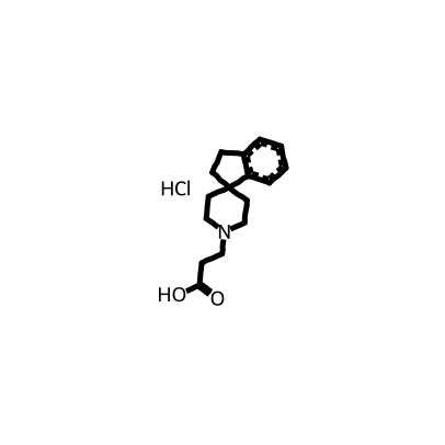 Cl.O=C(O)CCN1CCC2(CCc3ccccc32)CC1